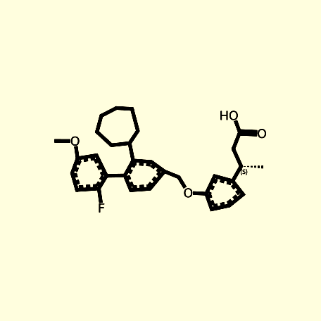 COc1ccc(F)c(-c2ccc(COc3cccc([C@@H](C)CC(=O)O)c3)cc2C2CCCCCC2)c1